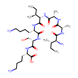 CC[C@H](C)[C@H](N)C(=O)N[C@@H](C)C(=O)N[C@@H](C)C(=O)N[C@H](C(=O)N[C@@H](CCCCN)C(=O)N[C@@H](CO)C(=O)N[C@@H](CCCCN)C(=O)O)[C@@H](C)CC